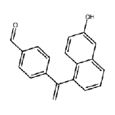 C=C(c1ccc(C=O)cc1)c1cccc2cc(O)ccc12